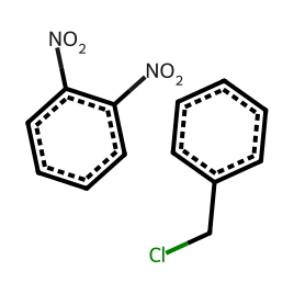 ClCc1ccccc1.O=[N+]([O-])c1ccccc1[N+](=O)[O-]